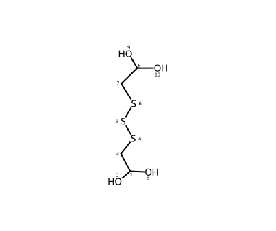 OC(O)CSSSCC(O)O